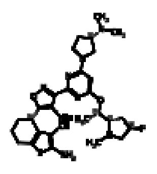 CCCCc1c(-c2nc(O[C@@H](C)[C@@H]3C[C@@H](F)CN3C)cc(N3CC[C@H](N(C)C)C3)n2)noc1[C@H]1CCCc2sc(N)c(C#N)c21